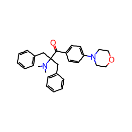 CN(C)C(Cc1ccccc1)(Cc1ccccc1)C(=O)c1ccc(N2CCOCC2)cc1